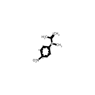 C=C(C)N(C)c1ccc([N+](=O)[O-])cc1